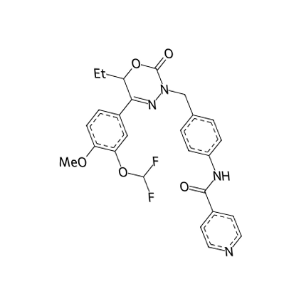 CCC1OC(=O)N(Cc2ccc(NC(=O)c3ccncc3)cc2)N=C1c1ccc(OC)c(OC(F)F)c1